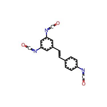 O=C=Nc1ccc(/C=C/c2cc(N=C=O)cc(N=C=O)c2)cc1